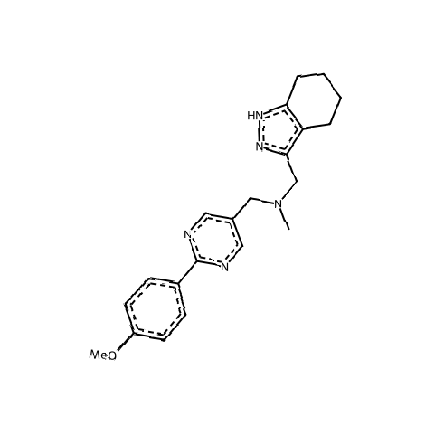 COc1ccc(-c2ncc(CN(C)Cc3n[nH]c4c3CCCC4)cn2)cc1